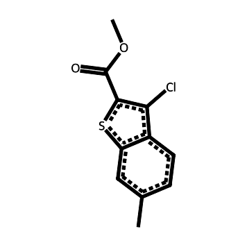 COC(=O)c1sc2cc(C)ccc2c1Cl